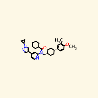 COc1ccc([C@H]2CC[C@H](CN(C(=O)C3CCCCC3)c3cc(-c4cnn(C5CC5)c4)ccn3)CC2)cc1C